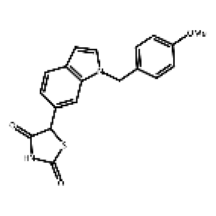 COc1ccc(Cn2ccc3ccc(C4SC(=O)NC4=O)cc32)cc1